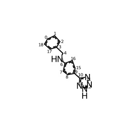 c1ccc(CNc2ccc(-c3nn[nH]n3)cc2)cc1